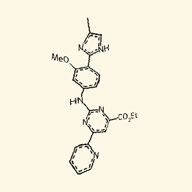 CCOC(=O)c1cc(-c2ccccn2)nc(Nc2ccc(-c3nc(C)c[nH]3)c(OC)c2)n1